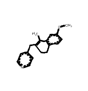 COc1ccc2c(c1)C(C)=C(Cc1ccncc1)CC2